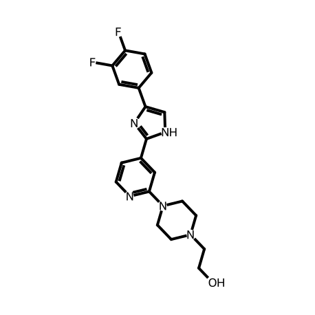 OCCN1CCN(c2cc(-c3nc(-c4ccc(F)c(F)c4)c[nH]3)ccn2)CC1